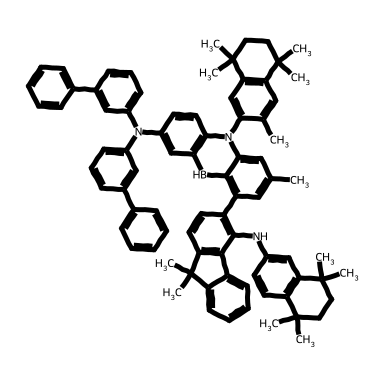 Cc1cc(-c2ccc3c(c2Nc2ccc4c(c2)C(C)(C)CCC4(C)C)-c2ccccc2C3(C)C)c2c(c1)N(c1cc3c(cc1C)C(C)(C)CCC3(C)C)c1ccc(N(c3cccc(-c4ccccc4)c3)c3cccc(-c4ccccc4)c3)cc1B2